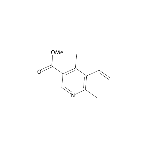 C=Cc1c(C)ncc(C(=O)OC)c1C